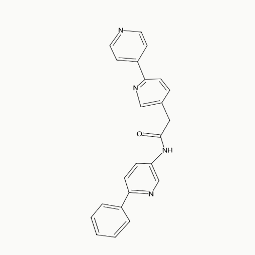 O=C(Cc1ccc(-c2ccncc2)nc1)Nc1ccc(-c2ccccc2)nc1